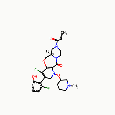 C=CC(=O)N1CCN2C(=O)C3=C(OC[C@H]2C1)C(Cl)=C(c1c(O)cccc1F)CN3OC1CCCN(C)C1